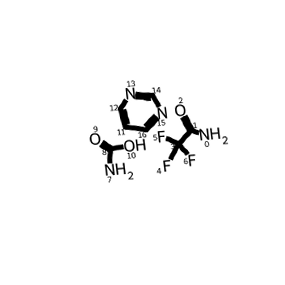 NC(=O)C(F)(F)F.NC(=O)O.c1cncnc1